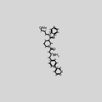 COCCCn1c([C@@H]2CCCN(C(=O)C[C@H](N)Cc3ccc(-c4cccnc4)cc3)C2)nc2ccccc21